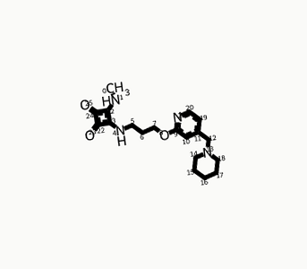 CNc1c(NCCCOc2cc(CN3CCCCC3)ccn2)c(=O)c1=O